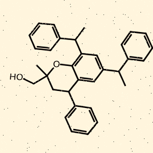 CC(c1ccccc1)c1cc(C(C)c2ccccc2)c2c(c1)C(c1ccccc1)CC(C)(CO)O2